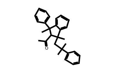 CC(=O)C1C(C)(CC(C)(C)c2ccccc2)c2ccccc2C1(C)c1ccccc1